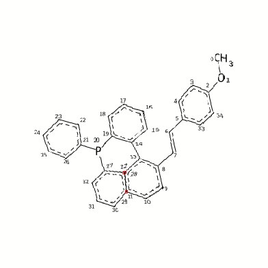 COc1ccc(/C=C/c2ccccc2-c2ccccc2P(c2ccccc2)c2ccccc2)cc1